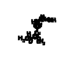 CNC(=O)c1cc(CCc2cnc(Nc3cnn(C4CNC4)c3)nc2)c(F)c(OC)c1